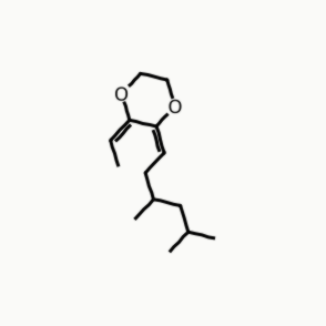 C/C=C1/OCCO/C1=C/CC(C)CC(C)C